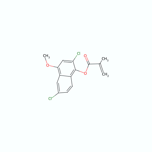 C=C(C)C(=O)Oc1c(Cl)cc(OC)c2cc(Cl)ccc12